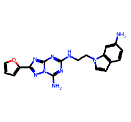 Nc1ccc2ccn(CCNc3nc(N)n4nc(-c5ccco5)nc4n3)c2c1